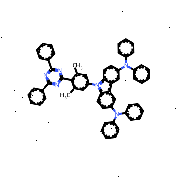 Cc1cc(-n2c3ccc(N(c4ccccc4)c4ccccc4)cc3c3cc(N(c4ccccc4)c4ccccc4)ccc32)cc(C)c1-c1nc(-c2ccccc2)nc(-c2ccccc2)n1